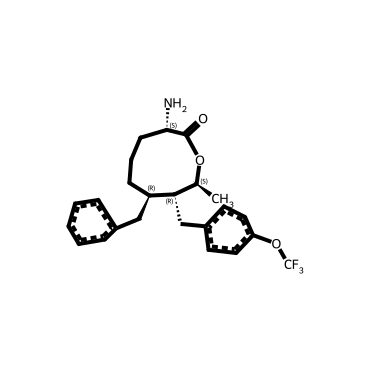 C[C@@H]1OC(=O)[C@@H](N)CCC[C@H](Cc2ccccc2)[C@H]1Cc1ccc(OC(F)(F)F)cc1